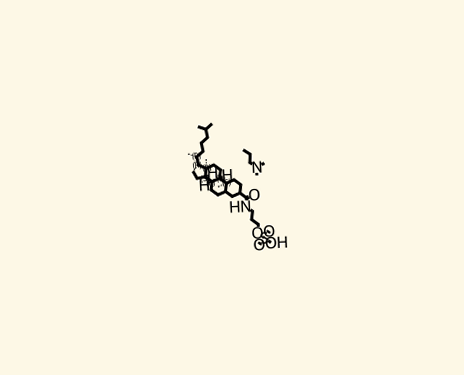 CC(C)CCC[C@@H](C)[C@H]1CC[C@H]2[C@@H]3CCC4CC(C(=O)NCCCOS(=O)(=O)O)CC[C@]4(C)[C@H]3CC[C@]12C.CCCN(C)C